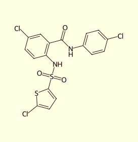 O=C(Nc1ccc(Cl)cc1)c1cc(Cl)ccc1NS(=O)(=O)c1ccc(Cl)s1